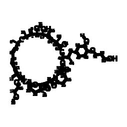 C=C1[C@H](C)C[C@H](C)/C=C/C=C/C=C(\C)C(OCCOC)C[C@@H]2CC[C@@H](C)[C@@](O)(O2)C(=O)C(=O)N2CCCC[C@H]2C(=O)O[C@H]([C@H](C)C[C@@H]2CC[C@@H](OCCCO)[C@H](OC)C2)CC(=O)[C@H](C)/C=C(\C)[C@@H](O)[C@H]1OC